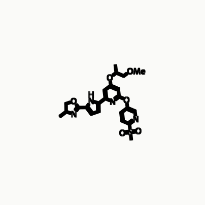 COCC(C)Oc1cc(Oc2ccc(S(C)(=O)=O)nc2)nc(-c2ccc(C3=NC(C)CO3)[nH]2)c1